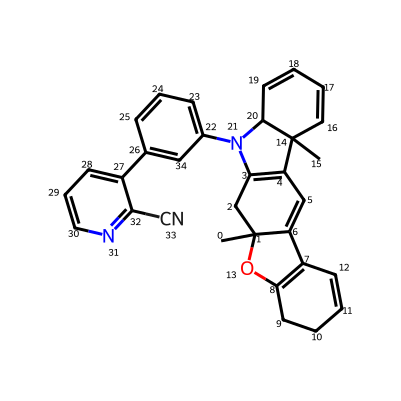 CC12CC3=C(C=C1C1=C(CCC=C1)O2)C1(C)C=CC=CC1N3c1cccc(-c2cccnc2C#N)c1